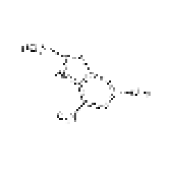 Cc1cc([N+](=O)[O-])c2[nH]c(C(=O)O)cc2c1